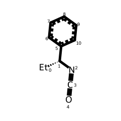 CC[C@@H](N=C=O)c1ccccc1